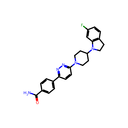 NC(=O)c1ccc(-c2ccc(N3CCC(N4CCc5ccc(F)cc54)CC3)nn2)cc1